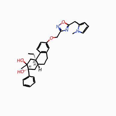 CC[C@@]12CC(C)(O)[C@](O)(c3ccccc3)C[C@H]1CCc1cc(OCc3noc(Cc4cccn4C)n3)ccc12